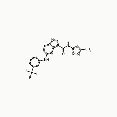 Cc1cc(NC(=O)c2cnn3ccc(Nc4cccc(C(F)(F)F)c4)nc23)on1